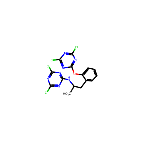 O=C(O)C(Cc1ccccc1Oc1nc(Cl)nc(Cl)n1)Nc1nc(Cl)nc(Cl)n1